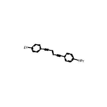 CCCc1ccc(C#CC=CC#Cc2ccc(CC)cc2)cc1